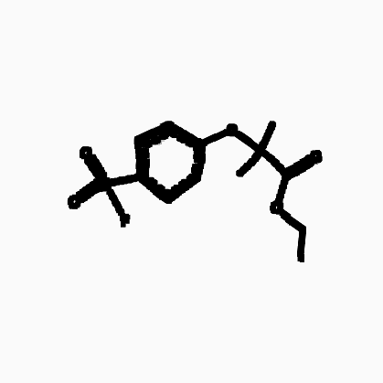 CCOC(=O)C(C)(C)Oc1ccc(S(=O)(=O)F)cc1